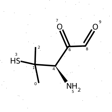 CC(C)(S)[C@H](N)C(=O)C=O